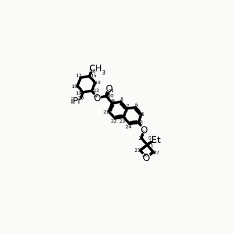 CCC1(COc2ccc3cc(C(=O)OC4CC(C)CCC4C(C)C)ccc3c2)COC1